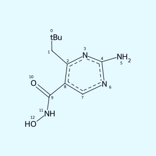 CC(C)(C)Cc1nc(N)ncc1C(=O)NO